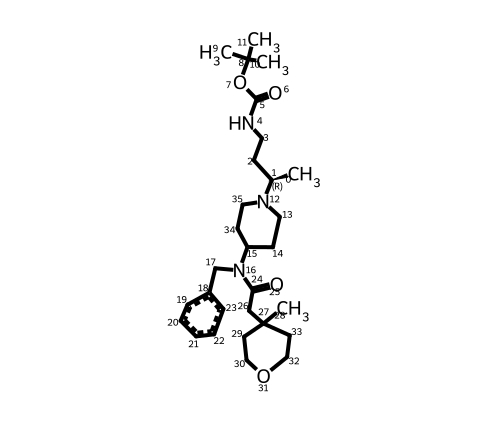 C[C@H](CCNC(=O)OC(C)(C)C)N1CCC(N(Cc2ccccc2)C(=O)CC2(C)CCOCC2)CC1